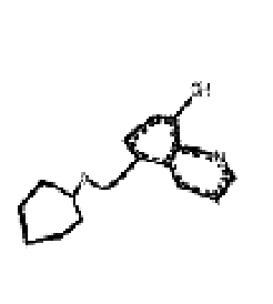 Oc1ccc(COC2CCCCC2)c2cccnc12